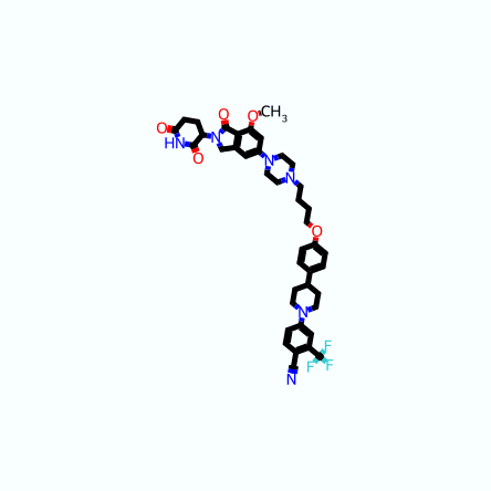 COc1cc(N2CCN(CCCCOc3ccc(C4CCN(c5ccc(C#N)c(C(F)(F)F)c5)CC4)cc3)CC2)cc2c1C(=O)N(C1CCC(=O)NC1=O)C2